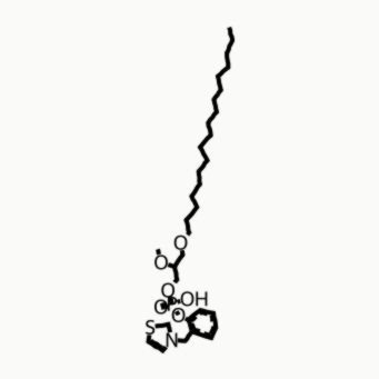 CCCCCCCCCCCCCCCCCCOCC(COP(=O)(O)Oc1ccccc1CN1C=CSC1)OC